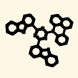 c1ccc2c(c1)-c1cccc3cccc(c13)N2c1nc(-c2cccc3c2oc2ccccc23)nc(-c2cccc3c2sc2ccccc23)n1